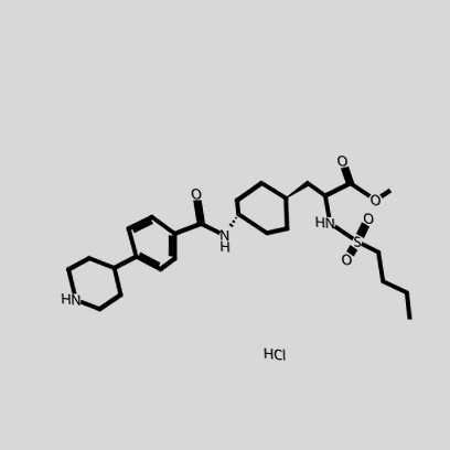 CCCCS(=O)(=O)NC(C[C@H]1CC[C@H](NC(=O)c2ccc(C3CCNCC3)cc2)CC1)C(=O)OC.Cl